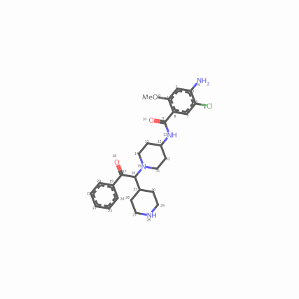 COc1cc(N)c(Cl)cc1C(=O)NC1CCN(C(C(=O)c2ccccc2)C2CCNCC2)CC1